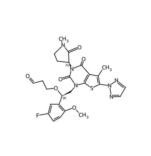 COc1ccc(F)cc1[C@H](Cn1c(=O)n([C@H]2CCN(C)C2=O)c(=O)c2c(C)c(-n3nccn3)sc21)OCCC=O